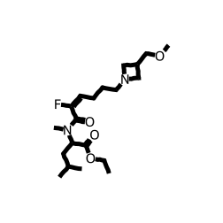 CCOC(=O)C(CC(C)C)N(C)C(=O)/C(F)=C\CCCN1CC(COC)C1